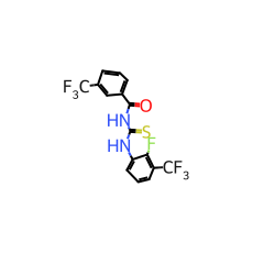 O=C(NC(=S)Nc1cccc(C(F)(F)F)c1F)c1cccc(C(F)(F)F)c1